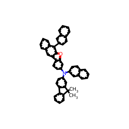 CC1(C)c2ccccc2-c2ccc(N(c3ccc4ccccc4c3)c3ccc4c(c3)oc3c(-c5ccc6ccccc6c5)c5ccccc5cc34)cc21